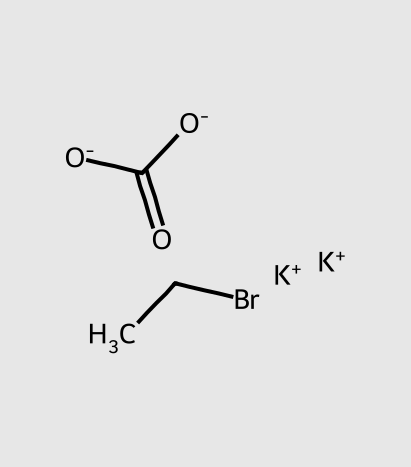 CCBr.O=C([O-])[O-].[K+].[K+]